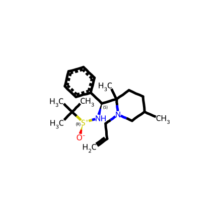 C=CCN1CC(C)CCC1(C)[C@@H](N[S@@+]([O-])C(C)(C)C)c1ccccc1